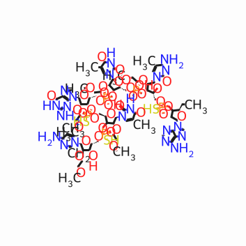 C=C1N=C(N)C(C)=CN1[C@@H]1O[C@H](COP(=O)(S)OC2[C@@H](COP(=O)(S)OC3[C@@H](COP(=O)(O)OC4[C@@H](COP(=O)(O)OC5[C@@H](COP(=O)(S)OC6C[C@H](n7cnc8c(N)ncnc87)O[C@@H]6CC)O[C@@H](n6cc(C)c(N)nc6=O)[C@H]5OCCOC)O[C@@H](n5cc(C)c(=O)[nH]c5=O)[C@H]4OCCOC)O[C@@H](n4cnc5c(=O)[nH]c(N)nc54)[C@H]3OCCOC)O[C@@H](n3cc(C)c(=O)[nH]c3=O)[C@H]2OCCOC)C(O)[C@@H]1OCCOC